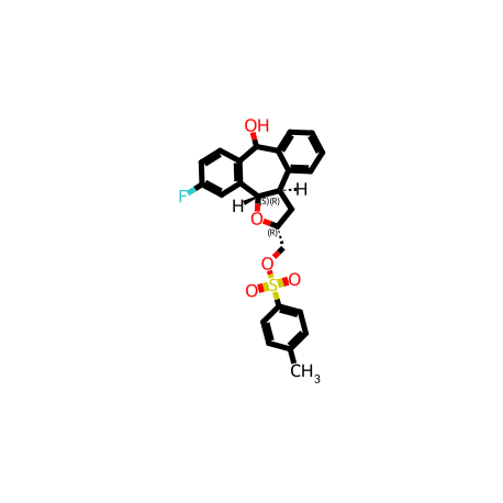 Cc1ccc(S(=O)(=O)OC[C@H]2C[C@@H]3c4ccccc4C(O)c4ccc(F)cc4[C@H]3O2)cc1